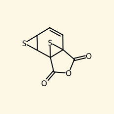 O=C1OC(=O)C23SC12C=CC1SC13